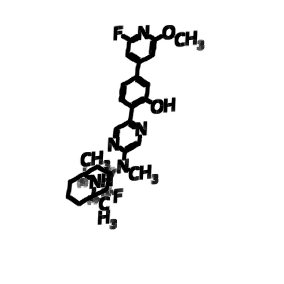 COc1cc(-c2ccc(-c3cnc(N(C)[C@H]4C[C@]5(C)CCC[C@@](C)(N5)[C@H]4F)cn3)c(O)c2)cc(F)n1